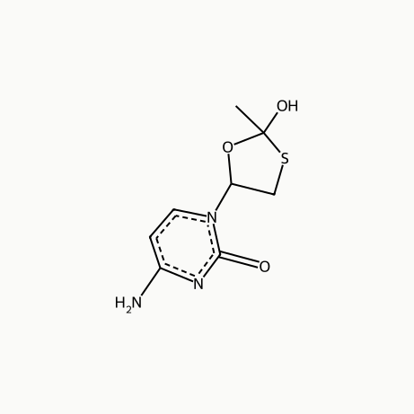 CC1(O)OC(n2ccc(N)nc2=O)CS1